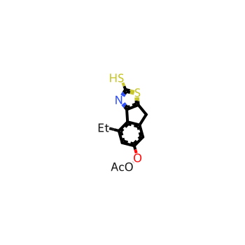 CCc1cc(OOC(C)=O)cc2c1-c1nc(S)sc1C2